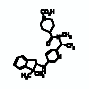 CN(C(=O)C1CCN(C(=O)O)CC1)[C@@H](c1ccc(N[C@H]2Cc3ccccc3C2(C)C)cn1)C(F)(F)F